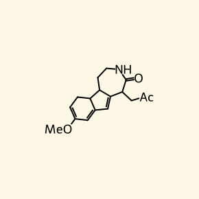 COC1=CCC2C(=C1)C=C1C(CC(C)=O)C(=O)NCCC12